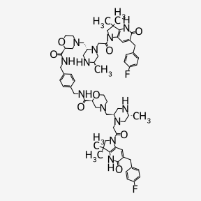 C[C@@H]1CN(CC(=O)N2CC(C)(C)c3[nH]c(=O)c(Cc4ccc(F)cc4)cc32)[C@@H](CN2CCO[C@H](C(=O)NCc3ccc(CNC(=O)[C@@H]4CN(C[C@H]5CN[C@H](C)CN5CC(=O)N5CC(C)(C)c6[nH]c(=O)c(Cc7ccc(F)cc7)cc65)CCO4)cc3)C2)CN1